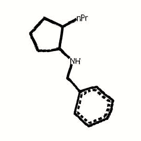 CCC[C]1CCCC1NCc1ccccc1